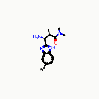 C[C@@H](C(=O)N(C)C)[C@H](N)c1nc2cc(C(C)(C)C)ccc2[nH]1